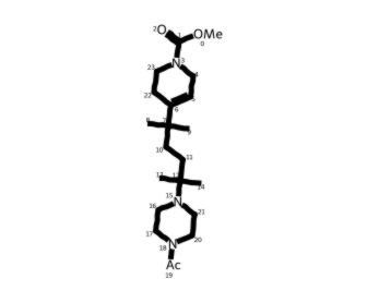 COC(=O)N1CC=C(C(C)(C)CCC(C)(C)N2CCN(C(C)=O)CC2)CC1